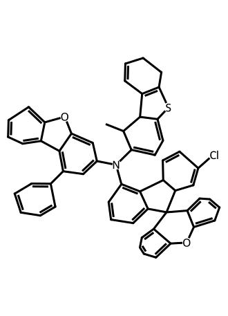 CC1C(N(c2cc(-c3ccccc3)c3c(c2)oc2ccccc23)c2cccc3c2C2C=CC(Cl)=CC2C32c3ccccc3Oc3ccccc32)=CC=C2SC3=C(C=CCC3)C21